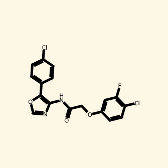 O=C(COc1ccc(Cl)c(F)c1)Nc1n[c]oc1-c1ccc(Cl)cc1